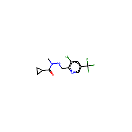 CN(NCc1ncc(C(F)(F)F)cc1Cl)C(=O)C1CC1